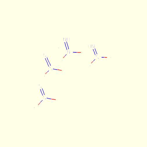 N=[N+]([O-])[O-].N=[N+]([O-])[O-].N=[N+]([O-])[O-].N=[N+]([O-])[O-].[C+4]